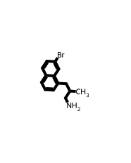 CC(CN)Cc1cccc2ccc(Br)cc12